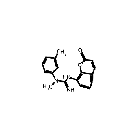 Cc1cccc(N(C)C(=N)Nc2cccc3ccc(=O)oc23)c1